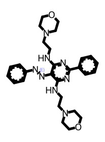 c1ccc(/N=N/c2c(NCCN3CCOCC3)nc(-c3ccccc3)nc2NCCN2CCOCC2)cc1